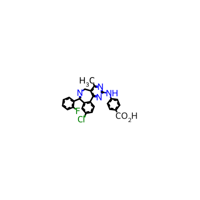 Cc1nc(Nc2ccc(C(=O)O)cc2)nc2c1CN=C(c1ccccc1F)c1cc(Cl)ccc1-2